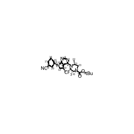 C[C@@H]1CN(c2ncnc3c2c(C(F)(F)F)cn3-c2cccc(C#N)c2)[C@@H](C)CN1C(=O)OC(C)(C)C